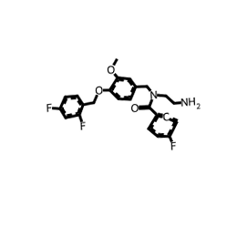 COc1cc(CN(CCN)C(=O)c2ccc(F)cc2)ccc1OCc1ccc(F)cc1F